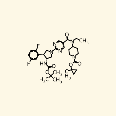 CCN(C(=O)c1cnc(N2C[C@H](NC(=O)OC(C)(C)C)[C@@H](c3cc(F)ccc3F)C2)nc1)C1CCN(C(=O)OC2(C)CC2)CC1